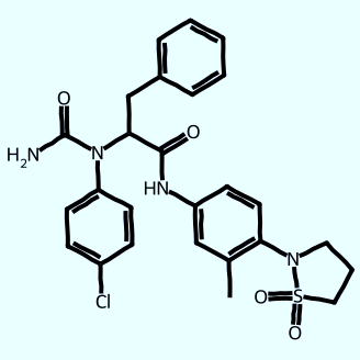 Cc1cc(NC(=O)C(Cc2ccccc2)N(C(N)=O)c2ccc(Cl)cc2)ccc1N1CCCS1(=O)=O